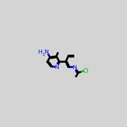 C=C/C(=C\N=C(/C)Cl)c1nccc(N)c1C